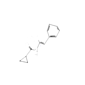 O=C(O)/C(=C\c1ccccc1)NC(=O)C1CC1